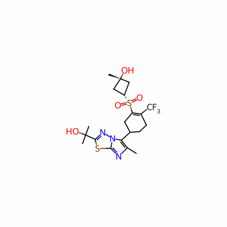 Cc1nc2sc(C(C)(C)O)nn2c1C1CCC(C(F)(F)F)=C(S(=O)(=O)[C@H]2C[C@@](C)(O)C2)C1